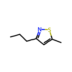 CCCc1cc(C)sn1